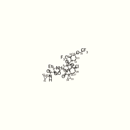 CCC(NC(=O)[C@@H]1C[C@@H](S(=O)(=O)c2ccc(OCC(F)(F)F)cc2C(F)(F)F)CN1C(=O)C1(c2ccc(Cl)cc2)CC1)C(=O)C(=O)NC1CC1